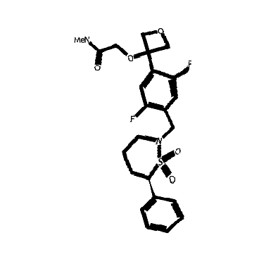 CNC(=O)COC1(c2cc(F)c(CN3CCC[C@H](c4ccccc4)S3(=O)=O)cc2F)COC1